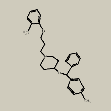 Cc1ccc(C(OC2CCN(CCCOc3ccccc3N)CC2)c2ccccc2)cc1